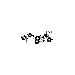 Cc1cc(F)cc(-n2nc(C(C)(C)C)cc2NC(=O)Nc2ccc(OCc3ccnc(Nc4cnccn4)c3)c3ccccc23)c1